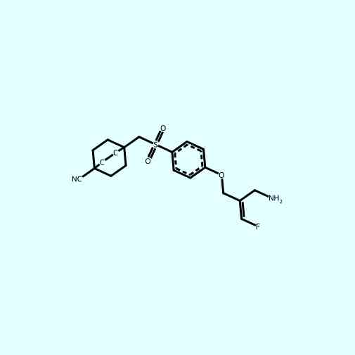 N#CC12CCC(CS(=O)(=O)c3ccc(OCC(=CF)CN)cc3)(CC1)CC2